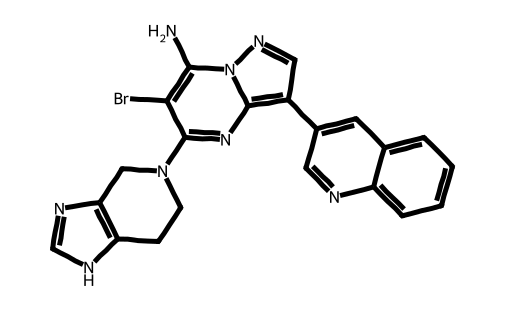 Nc1c(Br)c(N2CCc3[nH]cnc3C2)nc2c(-c3cnc4ccccc4c3)cnn12